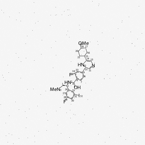 CNC[C@@H](NC(O)c1ccc(C2C=NC=C(C3CCC(OC)CC3)N2)cc1F)c1cc(F)cc(I)c1